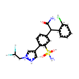 NC(=O)C(c1ccc(-c2cnn(CC(F)F)c2)c(S(N)(=O)=O)c1)c1ccccc1Cl